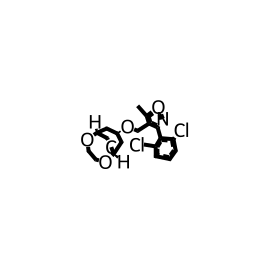 Cc1onc(-c2c(Cl)cccc2Cl)c1CO[C@@H]1C[C@H]2CC[C@@H](C1)OCCO2